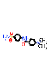 CN(C)c1ccc(C(=O)Nc2ccc(S(N)(=O)=O)cc2)cc1